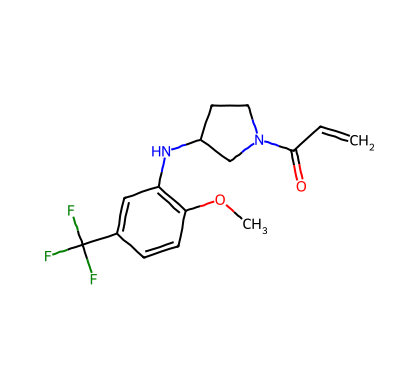 C=CC(=O)N1CCC(Nc2cc(C(F)(F)F)ccc2OC)C1